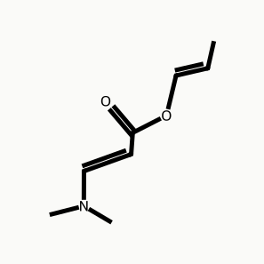 CC=COC(=O)C=CN(C)C